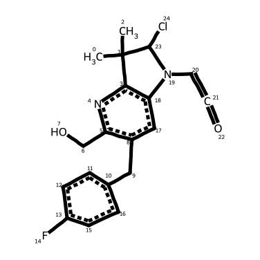 CC1(C)c2nc(CO)c(Cc3ccc(F)cc3)cc2N(C=C=O)C1Cl